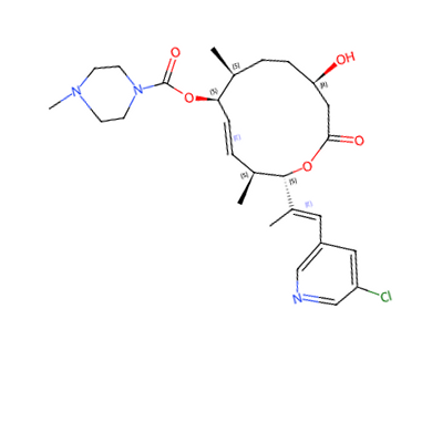 C/C(=C\c1cncc(Cl)c1)[C@H]1OC(=O)C[C@H](O)CC[C@H](C)[C@H](OC(=O)N2CCN(C)CC2)/C=C/[C@@H]1C